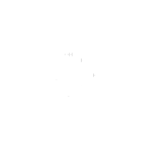 Cc1c(F)c(F)c(CO)c(F)c1F